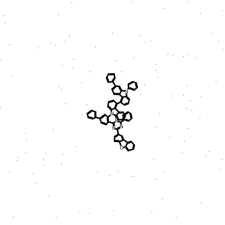 c1ccc(-c2ccc(C3=NC(c4ccc5oc6ccccc6c5c4)=NC(c4ccccc4)N3)c(-n3c4ccccc4c4c(-c5cccc6c5c5ccc(-c7ccccc7)cc5n6-c5ccccc5)cccc43)c2)cc1